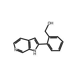 OCc1ccccc1-c1cc2ccncc2[nH]1